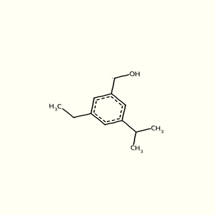 CCc1cc([CH]O)cc(C(C)C)c1